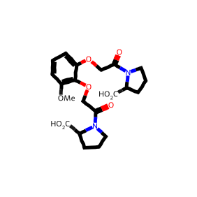 COc1cccc(OCC(=O)N2CCCC2C(=O)O)c1OCC(=O)N1CCCC1C(=O)O